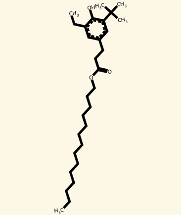 CCCCCCCCCCCCCCOC(=O)CCc1cc(CC)c(O)c(C(C)(C)C)c1